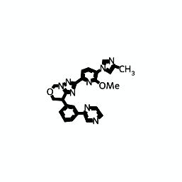 COc1nc(-c2nc3n(n2)COCC3c2cccc(-c3cnccn3)c2)ccc1-n1cnc(C)c1